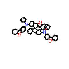 c1ccc(N(c2ccc3c(c2)C2(c4ccccc4-3)c3cc(N(c4ccccc4)c4ccc5oc6ccccc6c5c4)ccc3-c3oc4ccccc4c32)c2ccc3oc4ccccc4c3c2)cc1